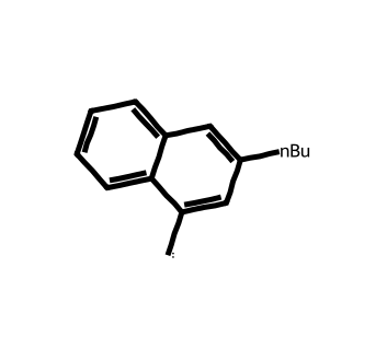 [CH]c1cc(CCCC)cc2ccccc12